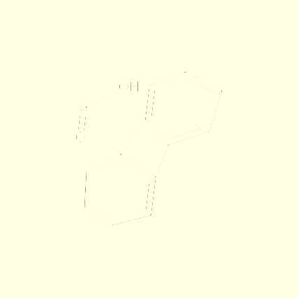 O=PO.c1ccc2c(c1)-c1ccccc1-2